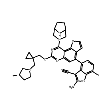 N#Cc1c(N)sc2c(F)ccc(-c3cc4nc(OCC5(CN6CC[C@@H](F)C6)CC5)nc(N5CC6CCC(C5)N6)c4c4occc34)c12